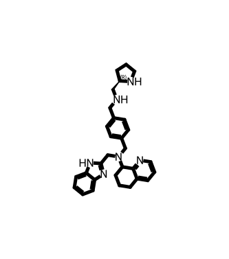 c1cnc2c(c1)CCCC2N(Cc1ccc(CNC[C@H]2CCCN2)cc1)Cc1nc2ccccc2[nH]1